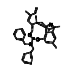 C=C/C(C)=C\C1=C/OP(N(Cc2ccccc2)Cc2ccccc2)Oc2cc(C)cc3c2[C@H]2CC1(C)C(C)C3(C)C2